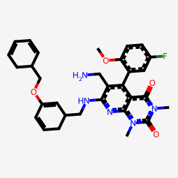 COc1ccc(F)cc1-c1c(CN)c(NCC2C=C(OCC3C=CC=CC3)C=CC2)nc2c1c(=O)n(C)c(=O)n2C